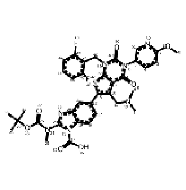 COc1ccc(-n2c(=O)c3c(CN(C)C)c(-c4ccc5c(c4)nc(N(C)C(=O)OC(C)(C)C)n5C(=O)O)sc3n(Cc3c(F)cccc3F)c2=O)cn1